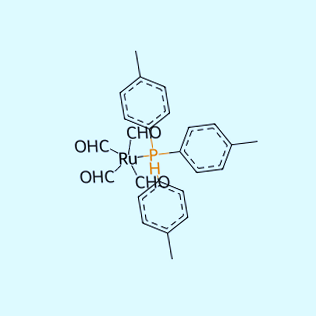 Cc1ccc([PH](c2ccc(C)cc2)(c2ccc(C)cc2)[Ru]([CH]=O)([CH]=O)([CH]=O)[CH]=O)cc1